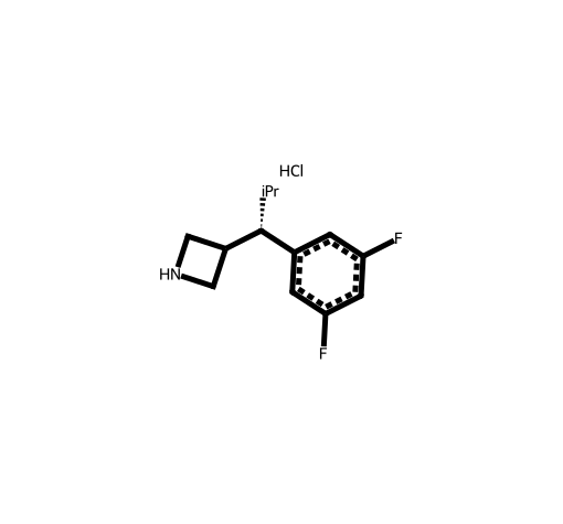 CC(C)[C@H](c1cc(F)cc(F)c1)C1CNC1.Cl